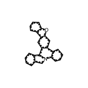 c1ccc2c(c1)cn1c3ccccc3c3cc4oc5ccccc5c4cc3c21